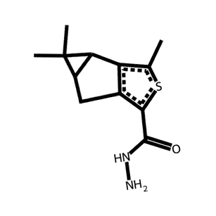 Cc1sc(C(=O)NN)c2c1C1C(C2)C1(C)C